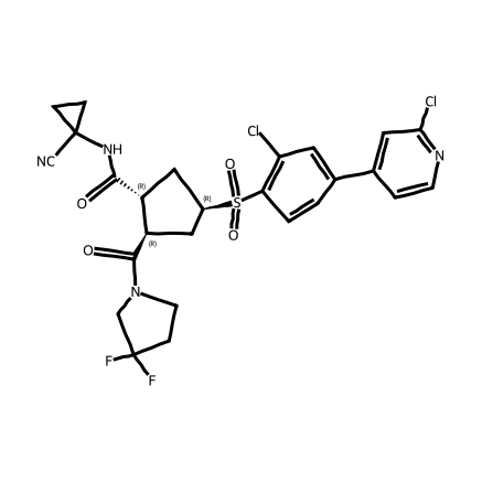 N#CC1(NC(=O)[C@@H]2C[C@@H](S(=O)(=O)c3ccc(-c4ccnc(Cl)c4)cc3Cl)C[C@H]2C(=O)N2CCC(F)(F)C2)CC1